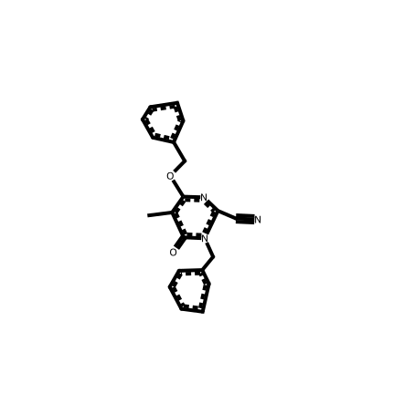 Cc1c(OCc2ccccc2)nc(C#N)n(Cc2ccccc2)c1=O